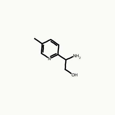 Cc1ccc(C(N)CO)nc1